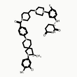 C[C@@H]1CC2(CCN(c3ccc(C(=O)N4CCC(CN5CCN(c6cc(N[C@H]7CCC(=O)NC7=O)ccc6F)CC5)CC4)cc3)CC2)CN1c1ccc(C#N)c(Cl)c1